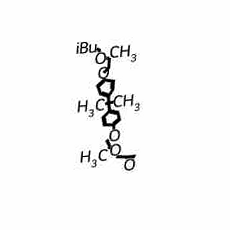 CCC(C)COC(C)COc1ccc(C(C)(C)c2ccc(OCC(C)OCC3CO3)cc2)cc1